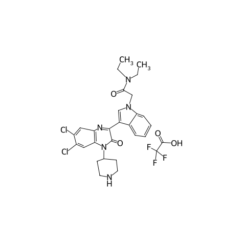 CCN(CC)C(=O)Cn1cc(-c2nc3cc(Cl)c(Cl)cc3n(C3CCNCC3)c2=O)c2ccccc21.O=C(O)C(F)(F)F